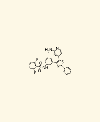 Nc1nccc(-c2sc(-c3ccccc3)nc2-c2cccc(NS(=O)(=O)c3c(F)cccc3F)c2)n1